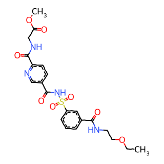 CCOCCNC(=O)c1cccc(S(=O)(=O)NC(=O)c2ccc(C(=O)NCC(=O)OC)nc2)c1